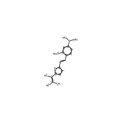 CCCCN(CCCC)c1ccc(C=Cc2ccc(C(C#N)=C(C#N)C#N)s2)c(OC)c1